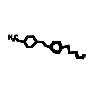 CCC1CCC(CCc2ccc(CCC=CF)cc2)CC1